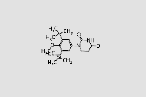 COc1c(C(C)(C)C)cc(-n2ccc(=O)[nH]c2=O)cc1[Si](C)(C)C